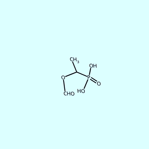 CC(OC=O)P(=O)(O)O